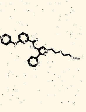 COCCOCCn1cc(NC(=O)c2cccc(Oc3ccncc3)n2)c(-c2ccccn2)n1